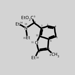 CCOC(=O)C(c1cccc2c(C)c(CC)oc12)N(CC)CC